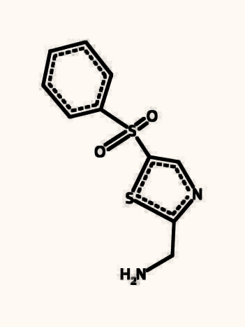 NCc1ncc(S(=O)(=O)c2ccccc2)s1